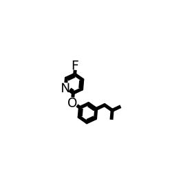 CC(C)Cc1cccc(Oc2ccc(F)cn2)c1